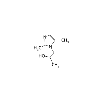 Cc1cnc(C)n1CC(C)O